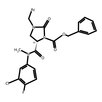 CC(=O)CN1C[C@@H](C(=O)N(C)c2ccc(F)c(Cl)c2)N(C(=O)OCc2ccccc2)C1=O